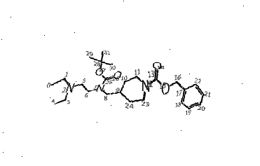 CCN(CC)CCN(CC1CCN(C(=O)OCc2ccccc2)CC1)C(=O)OC(C)(C)C